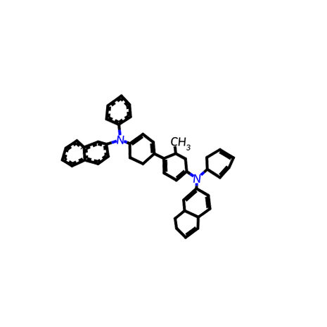 CC1CC(N(C2=CC3CCC=CC3C=C2)C2C=CC=CC2)=CC=C1C1=CC=C(N(c2ccccc2)c2ccc3ccccc3c2)CC1